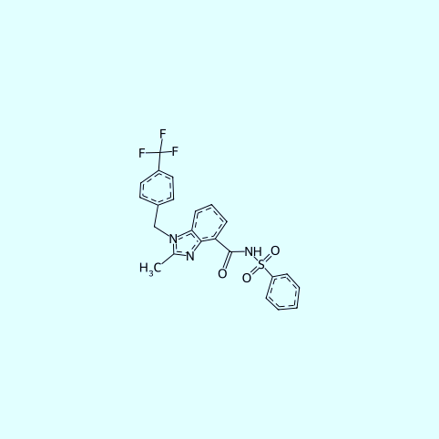 Cc1nc2c(C(=O)NS(=O)(=O)c3ccccc3)cccc2n1Cc1ccc(C(F)(F)F)cc1